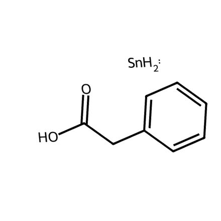 O=C(O)Cc1ccccc1.[SnH2]